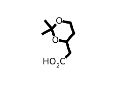 CC1(C)OCCC(CC(=O)O)O1